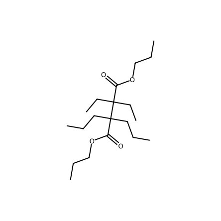 CCCOC(=O)C(CC)(CC)C(CCC)(CCC)C(=O)OCCC